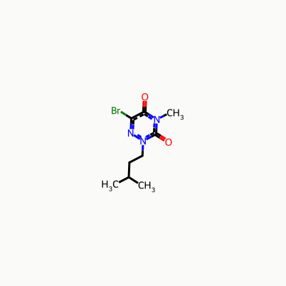 CC(C)CCn1nc(Br)c(=O)n(C)c1=O